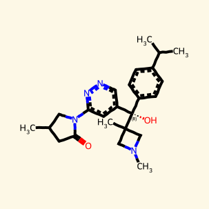 CC1CC(=O)N(c2cc([C@@](O)(c3ccc(C(C)C)cc3)C3(C)CN(C)C3)cnn2)C1